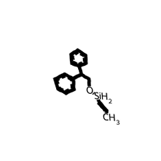 CC=C[SiH2]OCC(c1ccccc1)c1ccccc1